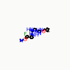 CN(C)CCOc1cc(F)cc(-c2cccc3[nH]c(-c4n[nH]c5ccc(-c6cncc(NC(=O)CC7CCCCC7)c6)nc45)nc23)c1